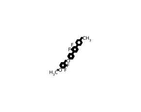 CCOc1ccc(COc2ccc(-c3ccc(C4CCC(CC)CC4)c(F)c3F)cc2)c(F)c1F